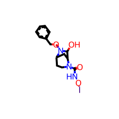 O=C(NOI)N1CCC2CC1C(O)N2OCc1ccccc1